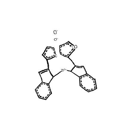 C1=C(c2ccco2)[CH]([Zr+2][CH]2C(c3ccco3)=Cc3ccccc32)c2ccccc21.[Cl-].[Cl-]